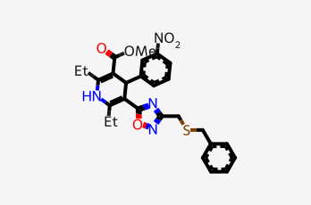 CCC1=C(C(=O)OC)C(c2cccc([N+](=O)[O-])c2)C(c2nc(CSCc3ccccc3)no2)=C(CC)N1